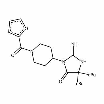 CCCCC1(CCCC)NC(=N)N(C2CCN(C(=O)c3ccco3)CC2)C1=O